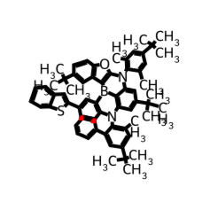 Cc1cc(C(C)(C)C)cc(C)c1N1c2cc(C(C)(C)C)cc3c2B(c2cc(-c4cc5ccccc5s4)ccc2N3c2c(C)cc(C(C)(C)C)cc2-c2ccccc2)c2c1oc1ccc(C(C)(C)C)cc21